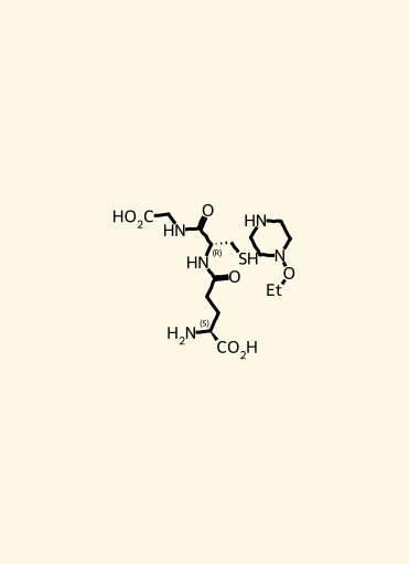 CCON1CCNCC1.N[C@@H](CCC(=O)N[C@@H](CS)C(=O)NCC(=O)O)C(=O)O